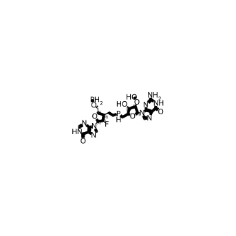 Nc1nc2c(ncn2[C@@H]2OC(CPCC[C@H]3[C@H](F)[C@H](n4cnc5c(=O)[nH]cnc54)O[C@@H]3COP)[C@@H](O)[C@H]2OO)c(=O)[nH]1